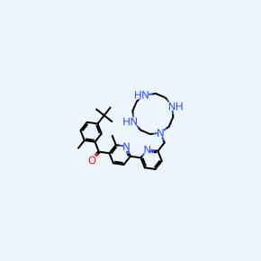 Cc1ccc(C(C)(C)C)cc1C(=O)c1ccc(-c2cccc(CN3CCNCCNCCNCC3)n2)nc1C